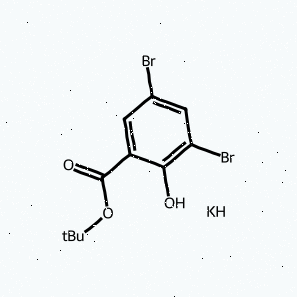 CC(C)(C)OC(=O)c1cc(Br)cc(Br)c1O.[KH]